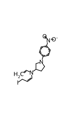 C=CN(/C=C\CI)C1CCN(c2ccc([N+](=O)[O-])cc2)C1